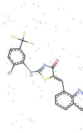 O=C1N=C(Nc2cc(C(F)(F)F)ccc2Cl)SC1=Cc1cccc2cccnc12